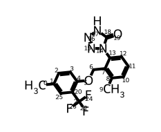 Cc1ccc(OCc2c(C)cccc2-n2nn[nH]c2=O)c(C(F)(F)F)c1